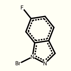 Fc1ccc2cnn(Br)c2c1